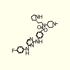 CN1CCC(N(CC[C@H]2CCCN2)S(=O)(=O)c2ccc(Nc3nccc(Nc4ccc(F)cc4)n3)cc2)CC1